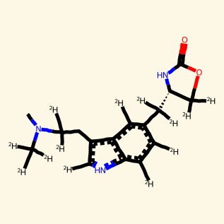 [2H]c1[nH]c2c([2H])c([2H])c(C([2H])([2H])[C@@H]3NC(=O)OC3([2H])[2H])c([2H])c2c1CC([2H])([2H])N(C)C([2H])([2H])[2H]